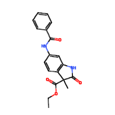 CCOC(=O)C1(C)C(=O)Nc2cc(NC(=O)c3ccccc3)ccc21